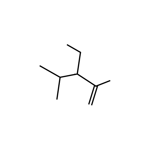 C=C(C)[C](CC)C(C)C